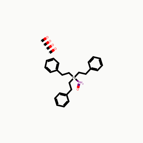 O=[PH2][Fe]([CH2]Cc1ccccc1)([CH2]Cc1ccccc1)[CH2]Cc1ccccc1.[C]=O.[C]=O.[C]=O.[C]=O